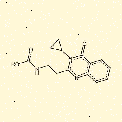 O=C(O)NCCc1nc2ccccc2c(=O)n1C1CC1